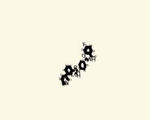 C[C@@H](NC(=O)[C@H]1CC[C@H](NS(=O)(=O)c2cccc(-c3cccnc3)c2)CC1)c1ccc(F)cc1